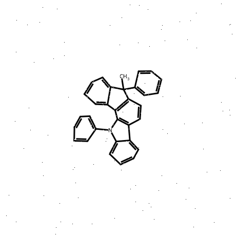 CC1(c2ccccc2)c2ccccc2-c2c1ccc1c3ccccc3n(-c3ccccc3)c21